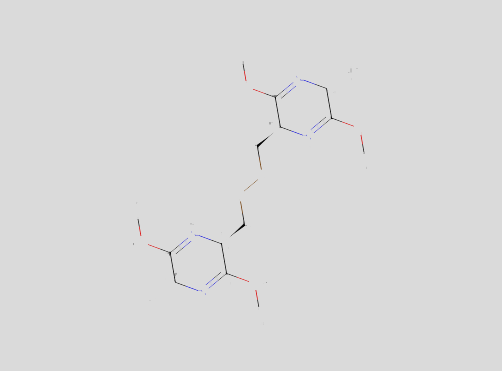 CCOC1=N[C@H](C(C)C)C(OCC)=N[C@H]1CSSC[C@@H]1N=C(OCC)[C@@H](C(C)C)N=C1OCC